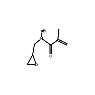 C=C(C)C(=O)N(CCCC)CC1CO1